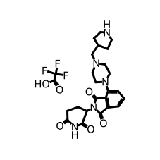 O=C(O)C(F)(F)F.O=C1CCC(N2C(=O)c3cccc(N4CCN(CC5CCNCC5)CC4)c3C2=O)C(=O)N1